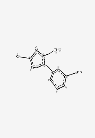 O=Cc1nc(Cl)oc1-c1cccc(F)c1